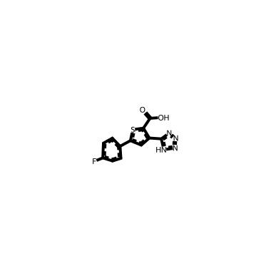 O=C(O)c1sc(-c2ccc(F)cc2)cc1-c1nnn[nH]1